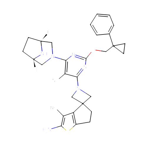 N#Cc1c(N2C[C@H]3CC[C@@H](C2)N3)nc(OCC2(c3ccccc3)CC2)nc1N1CC2(CCc3sc(N)c(C#N)c32)C1